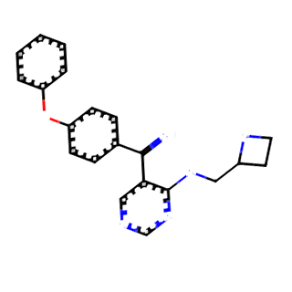 N=C(c1ccc(Oc2ccccc2)cc1)c1cncnc1NCC1CCN1